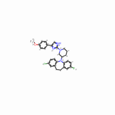 Fc1ccc2c(c1)CCc1cc(F)ccc1N2C1CCCN(c2nc(-c3ccc(OC(F)(F)F)cc3)c[nH]2)C1